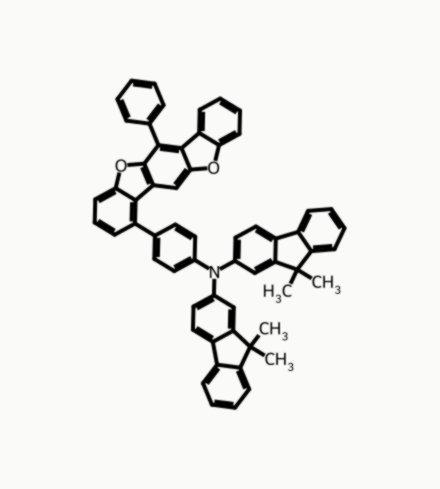 CC1(C)c2ccccc2-c2ccc(N(c3ccc(-c4cccc5oc6c(-c7ccccc7)c7c(cc6c45)oc4ccccc47)cc3)c3ccc4c(c3)C(C)(C)c3ccccc3-4)cc21